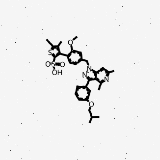 COc1cc(Cn2nc(-c3cccc(OCC(C)C)c3)c3c(C)nc(C)cc32)ccc1-c1c(S(=O)(=O)O)sc(C)c1C